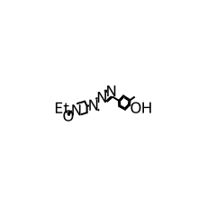 CCC(=O)N1CCC(N(C)Cn2cnc(-c3ccc(O)c(C)c3)c2)CC1